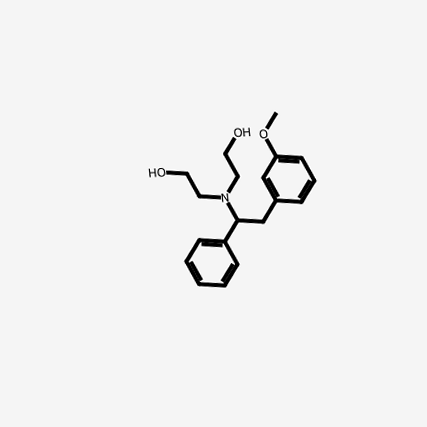 COc1cccc(CC(c2ccccc2)N(CCO)CCO)c1